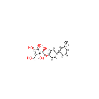 OCC1C(O)C(O)C1(O)C(O)Oc1ccc(-c2cccc(C(F)(F)F)c2)cc1